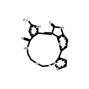 Cc1cc2c([nH]1)/C=C1\C(=O)Nc3ccc(nc31)-c1ccnn1CCOCCNC2=O